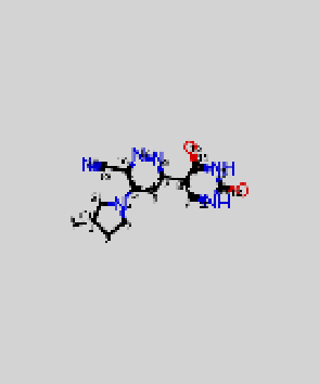 C[C@@H]1CCN(c2cc(-c3c[nH]c(=O)[nH]c3=O)nnc2C#N)C1